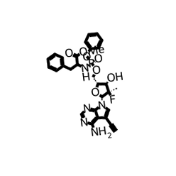 C#Cc1cn([C@@H]2O[C@H](COP(=O)(NC(Cc3ccccc3)C(=O)OC)Oc3ccccc3)[C@@H](O)[C@@]2(C)F)c2ncnc(N)c12